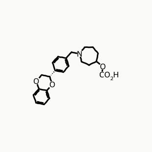 O=C(O)OC1CCCN(Cc2ccc([C@H]3COc4ccccc4O3)cc2)CC1